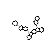 c1ccc(-c2ccc3cc(-n4c5ccccc5c5cc6c7ccccc7n(-c7ccc8ccccc8c7)c6cc54)ccc3c2)cc1